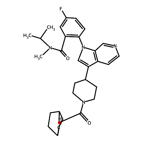 CC(C)N(C)C(=O)c1cc(F)ccc1-n1cc(C2CCN(C(=O)C3NC4CCC3CC4)CC2)c2ccncc21